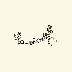 CC(C)Oc1cc2nc(C3CCN(CC(=O)N4CCN(CCCc5ccc(NC6CCC(=O)NC6=O)cc5)CC4)CC3)cn2cc1NC(=O)c1cccc(C(F)(F)F)n1